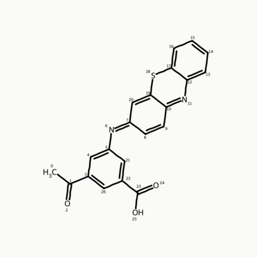 CC(=O)c1cc(/N=c2\ccc3nc4ccccc4sc-3c2)cc(C(=O)O)c1